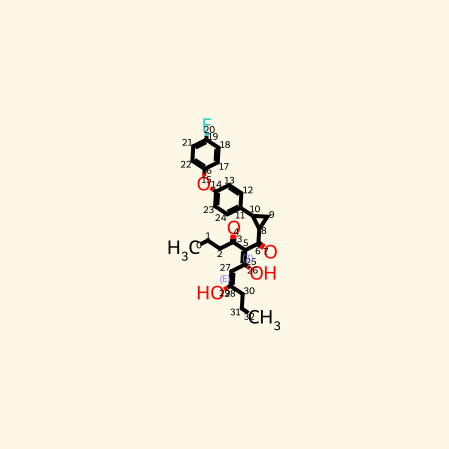 CCCC(=O)/C(C(=O)C1CC1c1ccc(Oc2ccc(F)cc2)cc1)=C(O)\C=C(\O)CCC